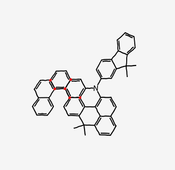 CC1(C)c2ccccc2-c2ccc(N(c3ccc(-c4cccc5ccccc45)cc3)c3ccc4cccc5c4c3-c3cc(-c4ccccc4)ccc3C5(C)C)cc21